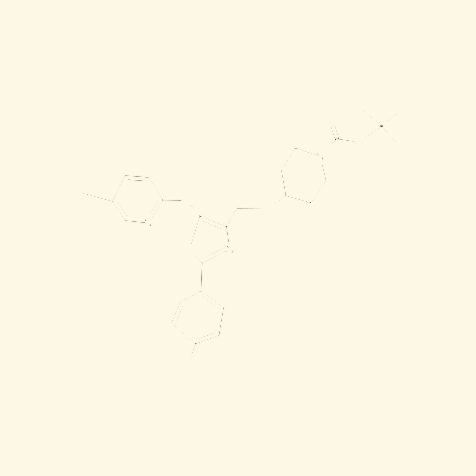 CC(C)(C)OC(=O)N1CCC(OCc2nc(-c3ccc(F)cc3)oc2Sc2ccc(Cl)cn2)CC1